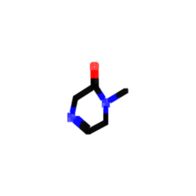 CN1CC=NCC1=O